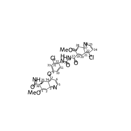 COc1cc2nccc(Oc3ccc(NC(=O)NC(=O)c4cc5c(Cl)ccnc5cc4OC)c(Cl)c3)c2cc1C(N)=O